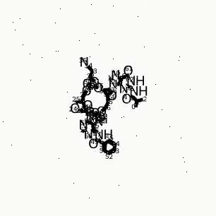 CC(C)C(=O)Nc1nc2c(ncn2C2OC3COP(=O)(O)OC4C5OCC4(COP(=O)(OCCC#N)OC2C3C)OC5n2cnc3c(NC(=O)c4ccccc4)ncnc32)c(=O)[nH]1